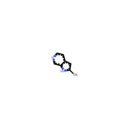 N#Cc1cc2ccncc2[nH]1